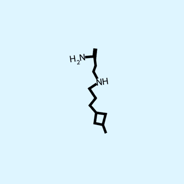 C=C(N)CCNCCCC1CC(C)C1